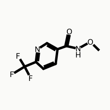 CONC(=O)c1ccc(C(F)(F)F)nc1